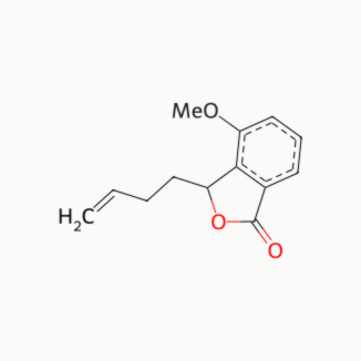 C=CCCC1OC(=O)c2cccc(OC)c21